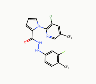 O=C(NNc1ccc(C(F)(F)F)c(F)c1)c1cccn1-c1ncc(C(F)(F)F)cc1Cl